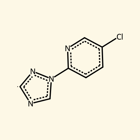 Clc1ccc(-n2cn[c]n2)nc1